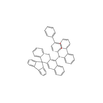 c1ccc(-c2ccc(N(c3ccccc3-c3ccccc3)c3c4c(cc5ccccc35)C3(c5ccccc5S4)c4ccccc4-c4ccccc43)cc2)cc1